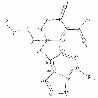 CCCCC12CCC(=O)C(C(C)=O)=C1c1cc(F)c3[nH]ccc3c1C2